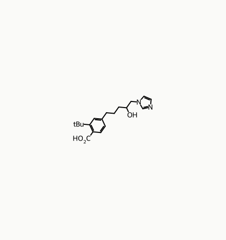 CC(C)(C)c1cc(CCCC(O)Cn2ccnc2)ccc1C(=O)O